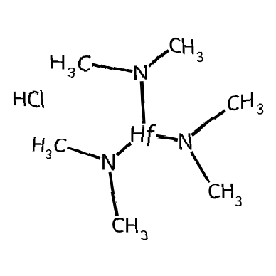 C[N](C)[Hf]([N](C)C)[N](C)C.Cl